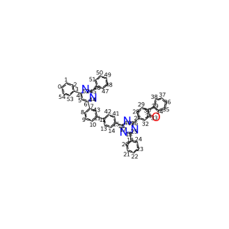 c1ccc(-c2cc(-c3cccc(-c4ccc(-c5nc(-c6ccccc6)nc(-c6ccc7c(c6)oc6ccccc67)n5)cc4)c3)nc(-c3ccccc3)n2)cc1